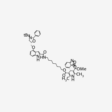 COC(=O)C1=C(C)NC(C)=C(C(=O)OCCCCCCCCNC(=O)c2cc3c(OC[C@@H]4CN(C(C)(C)C)C(c5ccccc5)O4)cccc3[nH]2)[C@@H]1c1cccc2nonc12